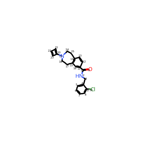 O=C(NCc1ccccc1Cl)c1ccc2c(c1)CCN(C1=CC=C1)CC2